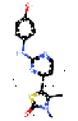 Cc1c(-c2ccnc(Nc3ccc(O)cc3)n2)sc(=O)n1C